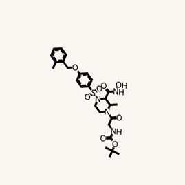 Cc1ccccc1COc1ccc(S(=O)(=O)N2CCN(C(=O)CNC(=O)OC(C)(C)C)C(C)C2C(=O)NO)cc1